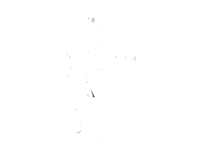 NC[C@@]1(CC(=O)O)CC[C@H](c2ccccc2)C1